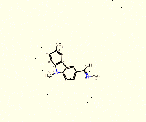 CC(=O)O/N=C(\C)c1ccc2c(c1)c1cc([N+](=O)[O-])ccc1n2C